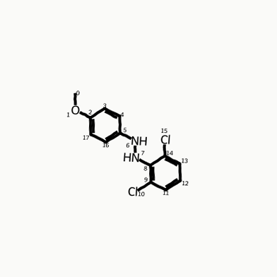 COc1ccc(NNc2c(Cl)cccc2Cl)cc1